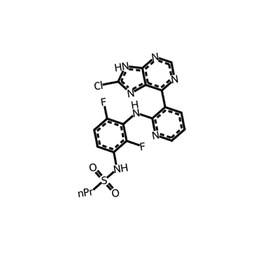 CCCS(=O)(=O)Nc1ccc(F)c(Nc2ncccc2-c2ncnc3[nH]c(Cl)nc23)c1F